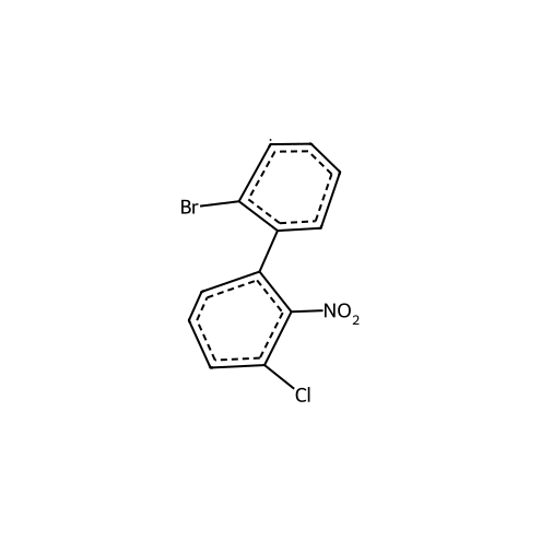 O=[N+]([O-])c1c(Cl)cccc1-c1ccc[c]c1Br